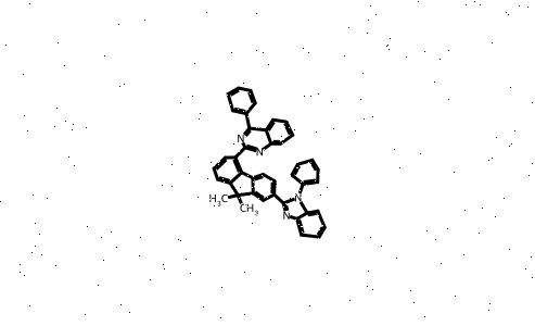 CC1(C)c2cc(-c3nc4ccccc4n3-c3ccccc3)ccc2-c2c(-c3nc(-c4ccccc4)c4ccccc4n3)cccc21